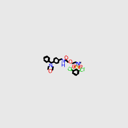 CN(CCOCC(=O)NCC1CCC(C(c2ccccc2)N2CCOCC2)CC1)S(=O)(=O)c1c(Cl)cccc1Cl